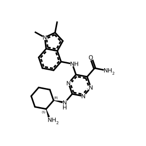 Cc1cc2c(Nc3nc(N[C@@H]4CCCC[C@@H]4N)nnc3C(N)=O)cccc2n1C